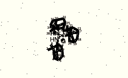 CC1(C)C2CC3CC(C2)CC1(NP(=O)(NC12CC4CC(CC(C4)C1(C)C)C2)NC12CC4CC(CC(C4)C1(C)C)C2)C3